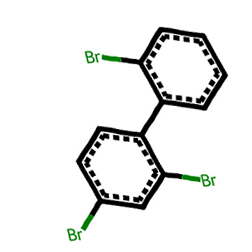 Brc1ccc(-c2ccccc2Br)c(Br)c1